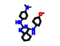 COc1ccc(Nc2nc(Nc3ccc(N(C)C)cc3)nc3ccccc23)cc1